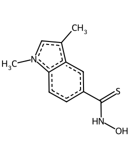 Cc1cn(C)c2ccc(C(=S)NO)cc12